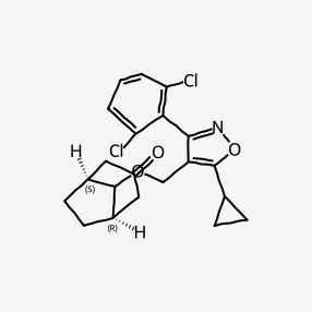 O=C1C[C@H]2CC[C@@H](C1)C2OCc1c(-c2c(Cl)cccc2Cl)noc1C1CC1